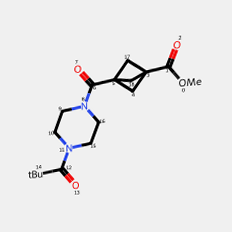 COC(=O)C12CC(C(=O)N3CCN(C(=O)C(C)(C)C)CC3)(C1)C2